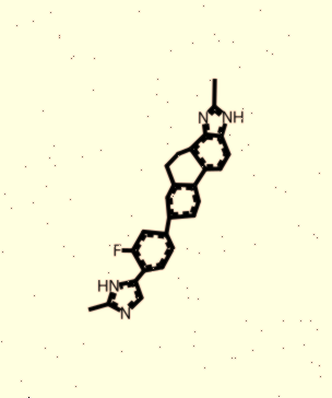 Cc1ncc(-c2ccc(-c3ccc4c(c3)CCc3c-4ccc4[nH]c(C)nc34)cc2F)[nH]1